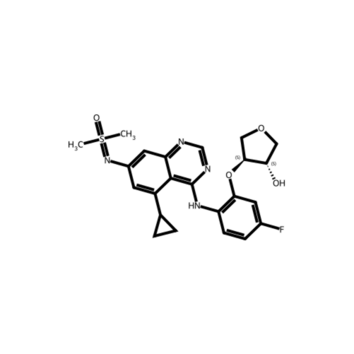 CS(C)(=O)=Nc1cc(C2CC2)c2c(Nc3ccc(F)cc3O[C@H]3COC[C@@H]3O)ncnc2c1